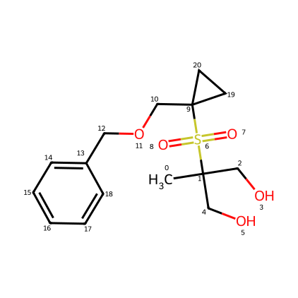 CC(CO)(CO)S(=O)(=O)C1(COCc2ccccc2)CC1